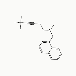 CN(CCC#CC(C)(C)C)Cc1cccc2ccccc12